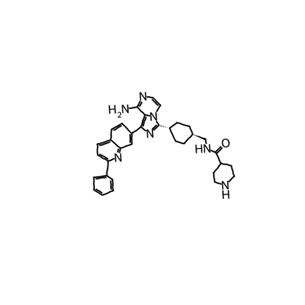 Nc1nccn2c1c(-c1ccc3ccc(-c4ccccc4)nc3c1)nc2[C@H]1CC[C@H](CNC(=O)C2CCNCC2)CC1